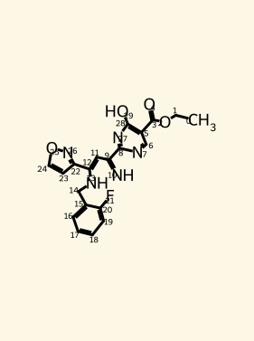 CCOC(=O)c1cnc(C(=N)/C=C(\NCc2ccccc2F)c2ccon2)nc1O